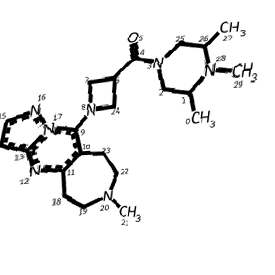 CC1CN(C(=O)C2CN(c3c4c(nc5ccnn35)CCN(C)CC4)C2)CC(C)N1C